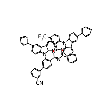 N#Cc1cccc(-c2ccc(-c3nc(-c4ccccc4)nc(-c4cc(C(F)(F)F)ccc4-n4c5ccccc5c5cc(-c6ccccc6)ccc54)n3)c(-n3c4ccccc4c4cc(-c5ccccc5)ccc43)c2)c1